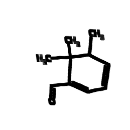 CC1C=CC=C(C=O)C1(C)C